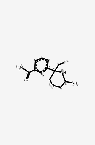 NC(=O)c1cccc(C2(CF)CNCC(N)N2)n1